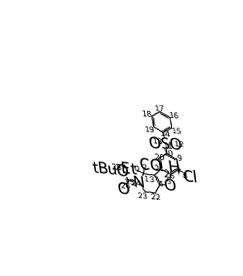 CCC1(C(=O)O)c2c(oc3c(Cl)cc(S(=O)(=O)c4ccccc4)cc23)CCN1C(=O)OC(C)(C)C